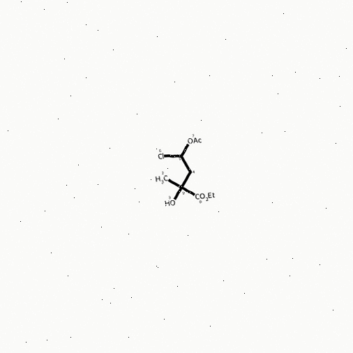 CCOC(=O)C(C)(O)CC(Cl)OC(C)=O